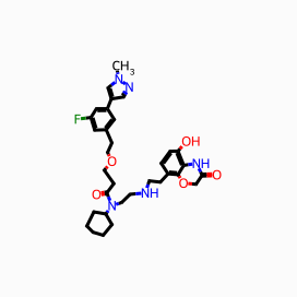 Cn1cc(-c2cc(F)cc(CCOCCC(=O)N(CCNCCc3ccc(O)c4c3OCC(=O)N4)C3CCCCC3)c2)cn1